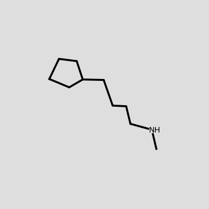 CNCCCCC1CCCC1